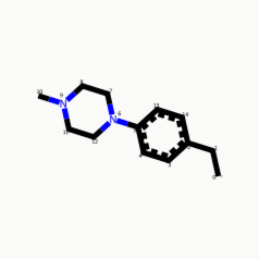 [CH2]Cc1ccc(N2CCN(C)CC2)cc1